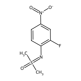 CS(C)(=O)=Nc1ccc([N+](=O)[O-])cc1F